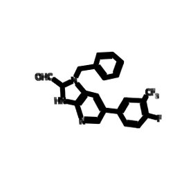 O=CC1Nc2ncc(-c3ccc(F)c(C(F)(F)F)c3)cc2N1Cc1ccccc1